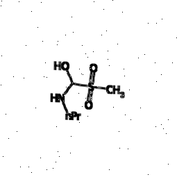 CCCNC(O)S(C)(=O)=O